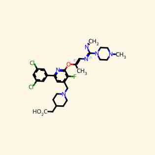 C=N/C(=N\C=C(/C)Oc1nc(-c2cc(Cl)cc(Cl)c2)cc(CN2CCC(CC(=O)O)CC2)c1F)N1CCN(C)CC1